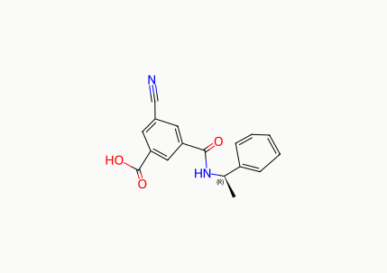 C[C@@H](NC(=O)c1cc(C#N)cc(C(=O)O)c1)c1ccccc1